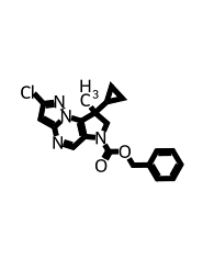 CC1(C2CC2)CN(C(=O)OCc2ccccc2)c2cnc3cc(Cl)nn3c21